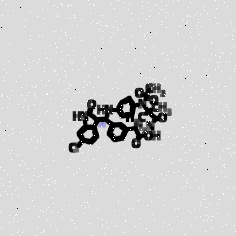 CC(C)(C(N)=O)N(c1ccc(N/C(=C2\C(=O)Nc3cc(Cl)ccc32)c2cccc(CC(=O)O)c2)cc1)S(C)(=O)=O